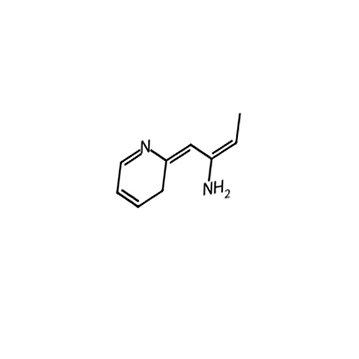 C/C=C(N)\C=C1/CC=CC=N1